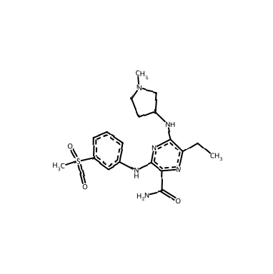 CCc1nc(C(N)=O)c(Nc2cccc(S(C)(=O)=O)c2)nc1NC1CCN(C)C1